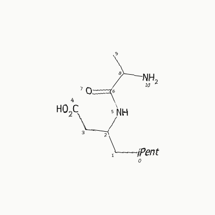 CCCC(C)CC(CC(=O)O)NC(=O)C(C)N